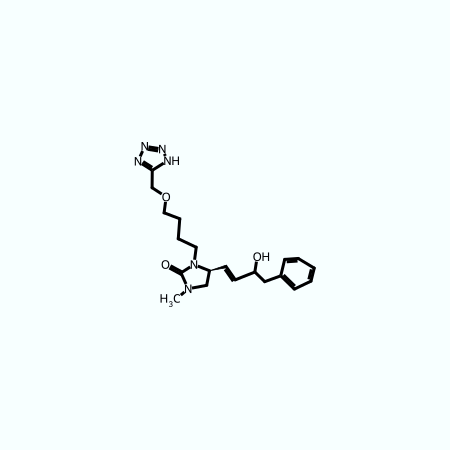 CN1C[C@H](/C=C/C(O)Cc2ccccc2)N(CCCCOCc2nnn[nH]2)C1=O